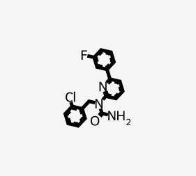 NC(=O)N(Cc1ccccc1Cl)c1cccc(-c2cccc(F)c2)n1